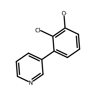 [O]c1cccc(-c2cccnc2)c1Cl